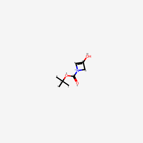 CC(C)(C)OC(=O)N1C=C(O)C1